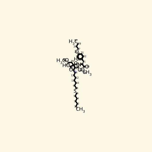 CCCCCCCSCCCCCC/C=C/[C@H](C(=O)N[C@@H](Cc1ccc(OCCCC)cc1)C(=O)OC)[C@@](O)(CCOC)C(=O)O